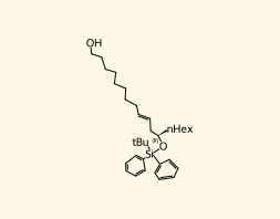 CCCCCC[C@H](CC=CCCCCCCCCO)O[Si](c1ccccc1)(c1ccccc1)C(C)(C)C